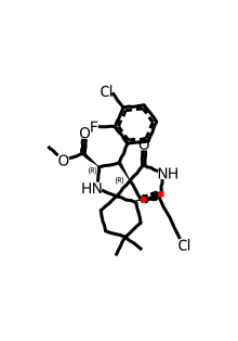 COC(=O)[C@@H]1NC2(CCC(C)(C)CC2)[C@@]2(C(=O)Nc3cc(Cl)ccc32)C1c1cccc(Cl)c1F